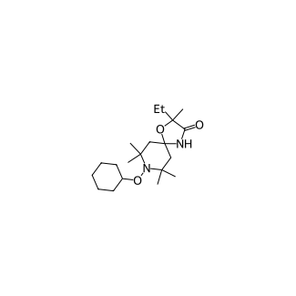 CCC1(C)OC2(CC(C)(C)N(OC3CCCCC3)C(C)(C)C2)NC1=O